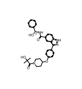 CC(C)(O)C(=O)N1CCC(Oc2ccc(-c3n[nH]c4ccc(C(=O)N[C@@H](O)c5ccccc5)cc34)cc2)CC1